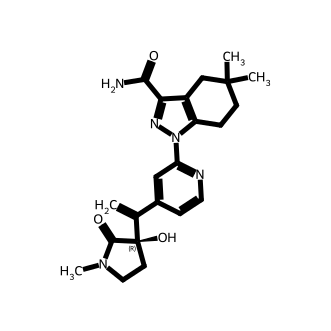 C=C(c1ccnc(-n2nc(C(N)=O)c3c2CCC(C)(C)C3)c1)[C@]1(O)CCN(C)C1=O